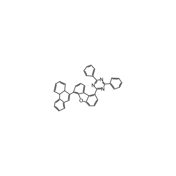 C1=CC2C(c3cccc4c3oc3cccc(-c5nc(-c6ccccc6)nc(-c6ccccc6)n5)c34)=Cc3ccccc3C2C=C1